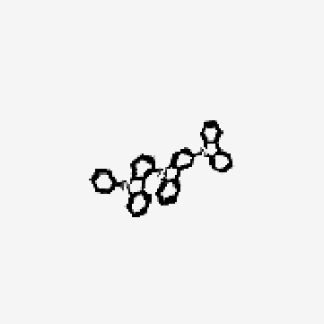 C1=CCC(n2c3ccccc3c3c(-n4c5ccccc5c5cc(-n6c7ccccc7c7ccccc76)ccc54)cccc32)C=C1